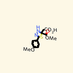 COC(=O)C1(CC(=O)O)NN=C(c2ccc(OC)cc2)S1